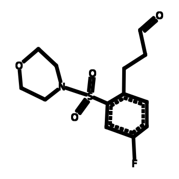 O=CCCc1ccc(F)cc1S(=O)(=O)N1CCOCC1